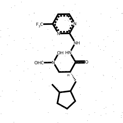 CC1CCCC1C[C@H](CN(O)C=O)C(=O)NNc1nccc(C(F)(F)F)n1